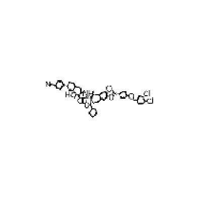 N#Cc1ccc(-c2ccc(CC(NC(=O)[C@@H]3Cc4cc5c(cc4CN3C(=O)C3CCCC3)O[C@@H](c3ccc(OCc4ccc(Cl)c(Cl)c4)cc3)CO5)C(=O)O)cc2)cc1